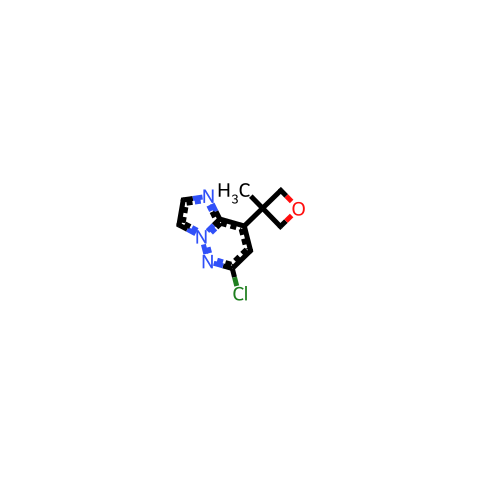 CC1(c2cc(Cl)nn3ccnc23)COC1